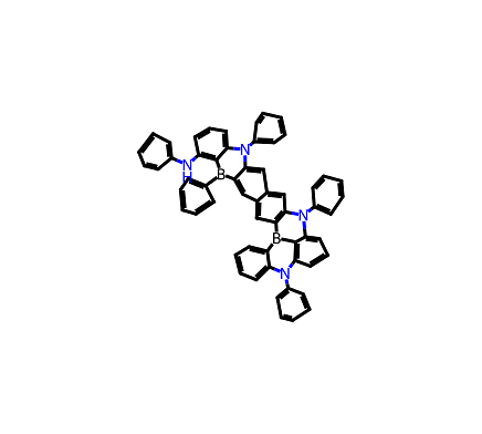 c1ccc(Nc2cccc3c2B(c2ccccc2)c2cc4cc5c(cc4cc2N3c2ccccc2)N(c2ccccc2)c2cccc3c2B5c2ccccc2N3c2ccccc2)cc1